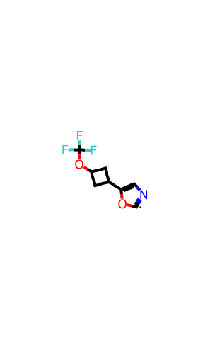 FC(F)(F)OC1CC(c2cn[c]o2)C1